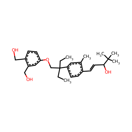 CCC(CC)(COc1ccc(CO)c(CO)c1)c1ccc(/C=C/C(O)C(C)(C)C)c(C)c1